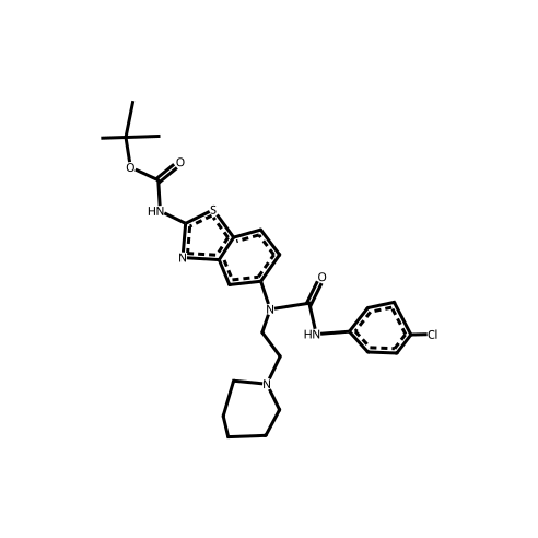 CC(C)(C)OC(=O)Nc1nc2cc(N(CCN3CCCCC3)C(=O)Nc3ccc(Cl)cc3)ccc2s1